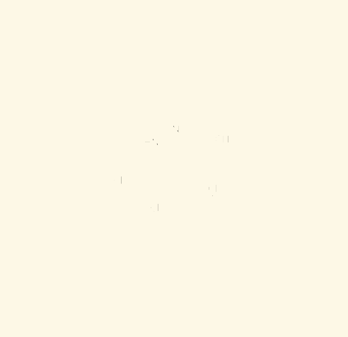 CCOC(=O)c1c(C)n[nH]c1C(Cl)Cl